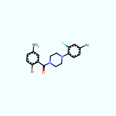 CC(=O)c1ccc(N2CCN(C(=O)c3cc([N+](=O)[O-])ccc3Br)CC2)c(F)c1